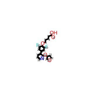 O=C(O)CCCCOc1c(F)cc(-c2cccnc2OC2CCOC2)cc1F